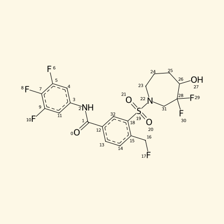 O=C(Nc1cc(F)c(F)c(F)c1)c1ccc(CF)c(S(=O)(=O)N2CCCC(O)C(F)(F)C2)c1